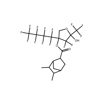 CC1C2CC(C(=O)OC3(C(F)(F)C(F)(F)C(F)(F)C(F)(F)F)COC(O)(C(F)(F)F)C3(F)F)C(C2)C1C